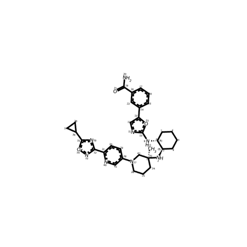 C[C@]1(N[C@@H]2CCCC[C@H]2Nc2ncc(-c3cccc(C(N)=O)c3)o2)CCCN(c2ccc(-c3noc(C4CC4)n3)nc2)C1